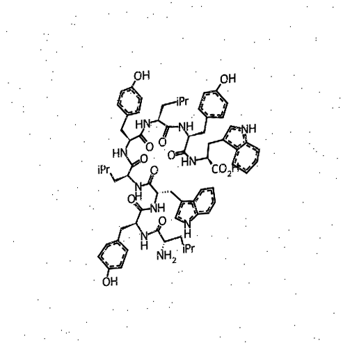 CC(C)C[C@H](NC(=O)[C@H](Cc1ccc(O)cc1)NC(=O)[C@H](CC(C)C)NC(=O)[C@H](Cc1c[nH]c2ccccc12)NC(=O)[C@H](Cc1ccc(O)cc1)NC(=O)[C@@H](N)CC(C)C)C(=O)N[C@@H](Cc1ccc(O)cc1)C(=O)N[C@@H](Cc1c[nH]c2ccccc12)C(=O)O